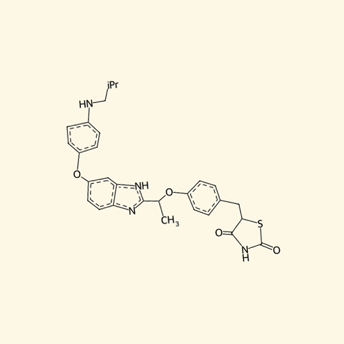 CC(C)CNc1ccc(Oc2ccc3nc(C(C)Oc4ccc(CC5SC(=O)NC5=O)cc4)[nH]c3c2)cc1